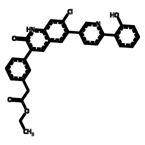 CCOC(=O)Cc1cccc(-c2cc3cc(-c4ccc(-c5ccccc5O)nc4)c(Cl)cc3[nH]c2=O)c1